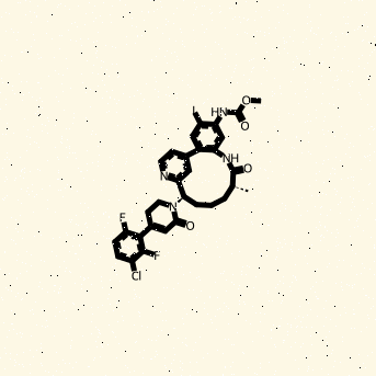 COC(=O)Nc1cc2c(cc1I)-c1ccnc(c1)[C@@H](N1CCC(c3c(F)ccc(Cl)c3F)=CC1=O)CCC[C@@H](C)C(=O)N2